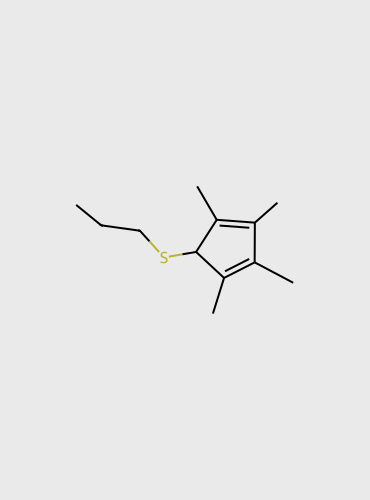 CCCSC1C(C)=C(C)C(C)=C1C